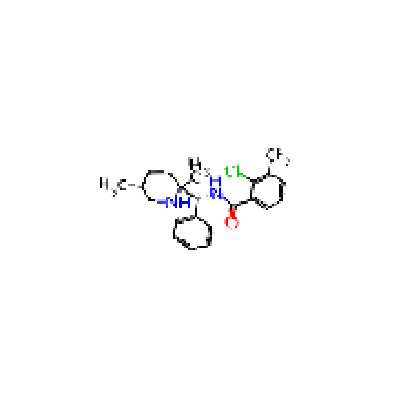 CC1CCC(C)([C@H](NC(=O)c2cccc(C(F)(F)F)c2Cl)c2ccccc2)NC1